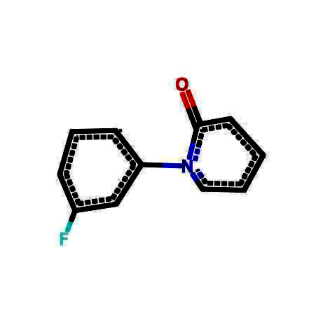 O=c1ccccn1-c1[c]ccc(F)c1